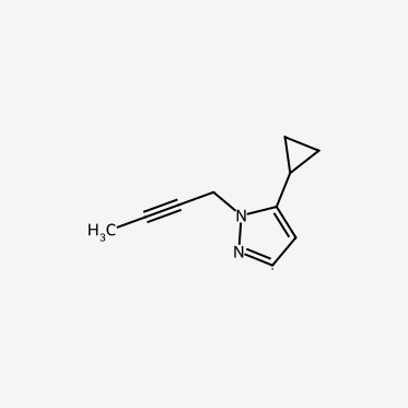 CC#CCn1n[c]cc1C1CC1